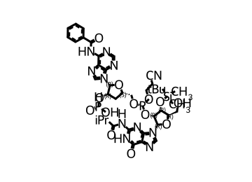 CC(C)C(=O)Nc1nc2c(ncn2[C@@H]2O[C@H](CO)[C@@H](O[Si](C)(C)C(C)(C)C)[C@H]2OP(OCCC#N)OC[C@@H]2C[C@@H](O[PH](=O)O)[C@H](n3cnc4c(NC(=O)c5ccccc5)ncnc43)O2)c(=O)[nH]1